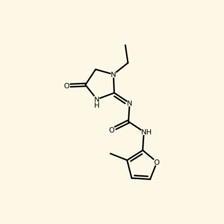 CCN1CC(=O)NC1=NC(=O)Nc1occc1C